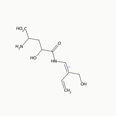 C=C/C(=C\NC(=O)C(O)CC(N)C(=O)O)CO